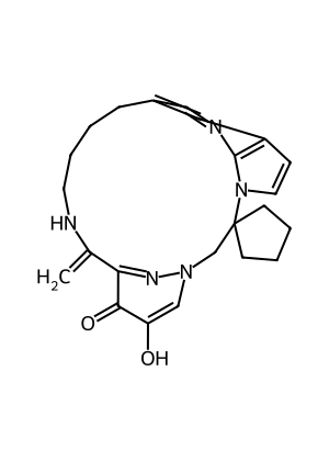 C=C1NCCCCc2cnc3c(ccn3C3(CCCC3)Cn3cc(O)c(=O)c1n3)c2